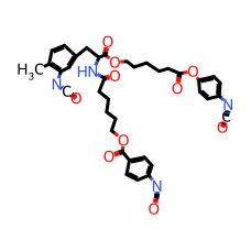 Cc1ccc(CC(NC(=O)CCCCCOC(=O)c2ccc(N=C=O)cc2)C(=O)OCCCCCC(=O)Oc2ccc(N=C=O)cc2)cc1N=C=O